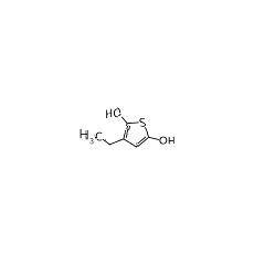 CCc1cc(O)sc1O